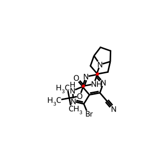 CC(C)(C)OC(=O)NC1CC2CCC(C1)N2c1nc(C#N)c2c(Br)n[nH]c2n1